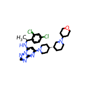 C[C@@H](Nc1cc(N2CCC([C@H]3CCCN(C4CCOCC4)C3)CC2)nc2ncnn12)c1ccc(Cl)cc1Cl